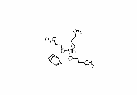 C1=CC2CCC1C2.CCCO[SiH](OCCC)OCCC